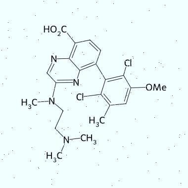 COc1cc(C)c(Cl)c(-c2ccc(C(=O)O)c3ncc(N(C)CCN(C)C)nc23)c1Cl